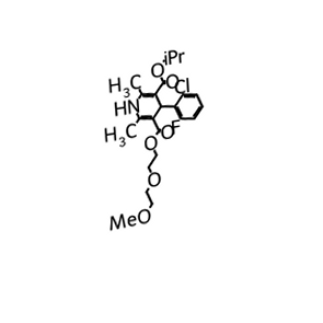 COCCOCCOC(=O)C1=C(C)NC(C)=C(C(=O)OC(C)C)C1c1c(F)cccc1Cl